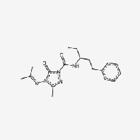 CCC(CCc1ccccc1)NC(=O)n1nc(C)n(N=C(C)C)c1=O